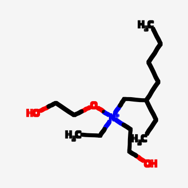 CCCCC(CC)C[N+](CC)(CCO)OCCO